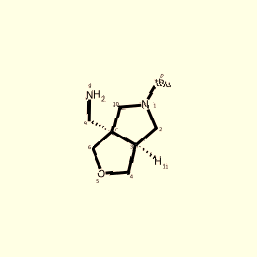 CC(C)(C)N1C[C@H]2COC[C@@]2(CN)C1